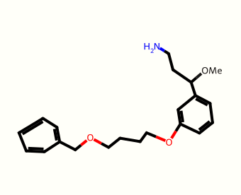 COC(CCN)c1cccc(OCCCCOCc2ccccc2)c1